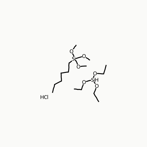 CCCCCC[Si](OC)(OC)OC.CCO[SiH](OCC)OCC.Cl